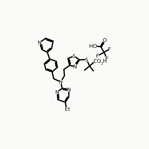 CCc1cnc(N(CCc2csc(SC(C)(C)C(=O)O)n2)Cc2ccc(-c3cccnc3)cc2)nc1.O=C(O)C(F)(F)F